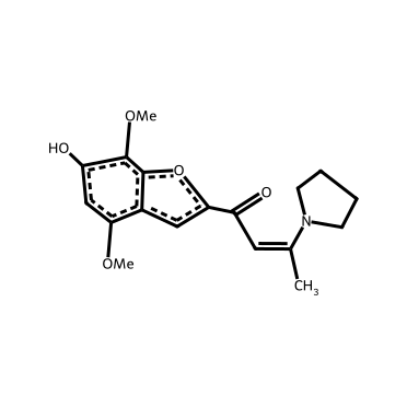 COc1cc(O)c(OC)c2oc(C(=O)C=C(C)N3CCCC3)cc12